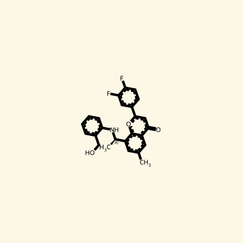 Cc1cc([C@@H](C)Nc2ccccc2CO)c2oc(-c3ccc(F)c(F)c3)cc(=O)c2c1